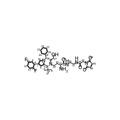 CC(C)(C)[C@H](c1cc(-c2cc(F)ccc2F)cn1Cc1ccccc1)N(CCO)CC[C@H](N)C(=O)NCCNC(=O)CN1C(=O)C=CC1=O